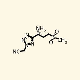 CS(=O)(=O)CC[C@H](N)c1nnn(CC#N)n1